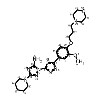 COc1cc(-c2nnc(-n3nc(N4CCCCC4)nc3N)s2)ccc1OCCCN1CCOCC1